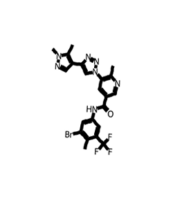 Cc1ncc(C(=O)Nc2cc(Br)c(C)c(C(F)(F)F)c2)cc1-n1cc(-c2cnn(C)c2C)nn1